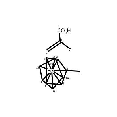 C=C(C)C(=O)O.C[C]12[CH]3[CH]4[CH]5[CH]1[Fe]45321678[CH]2[CH]1[CH]6[CH]7[CH]28